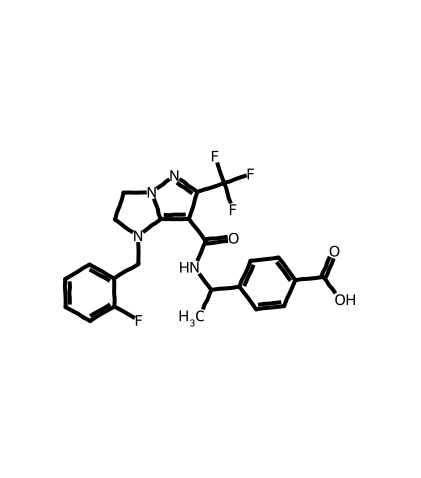 CC(NC(=O)c1c(C(F)(F)F)nn2c1N(Cc1ccccc1F)CC2)c1ccc(C(=O)O)cc1